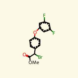 COC(=O)C(Br)c1ccc(Oc2cc(F)cc(F)c2)cc1